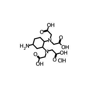 Cl.NC1CCC(N(CC(=O)O)CC(=O)O)C(N(CC(=O)O)CC(=O)O)C1